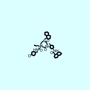 C=CCN(C(=O)NCc1ccc(OC)cc1)N1CCN(Cc2cccc3ccccc23)C(=O)[C@H](Cc2ccc(NC(=O)c3cccc4ccccc34)cc2)NC(=O)C1